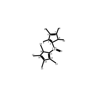 [CH2]=[Ti]([C]1=C(C)C(C)=C(C)C1C)[C]1=C(C)C(C)=C(C)C1C